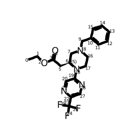 CCOC(=O)C[C@H]1CN(Cc2ccccc2)CCN1c1cnc(C(F)(F)F)cn1